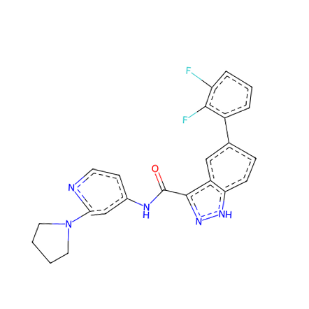 O=C(Nc1ccnc(N2CCCC2)c1)c1n[nH]c2ccc(-c3cccc(F)c3F)cc12